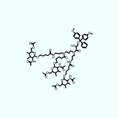 COc1ccc(C(OCC(O)C(=O)N(CCCNC(=O)CCCCOC2OC(COC(C)=O)C(C)C(C)C2NC(C)=O)CCCN(CCCNC(=O)CCCCOC2OC(COC(C)=O)C(C)C(C)C2NC(C)=O)C(=O)CCCCOC2OC(COC(C)=O)C(C)C(C)C2NC(C)=O)(c2ccccc2)c2ccc(OC)cc2)cc1